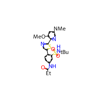 CCC(=O)Nc1ccc(-c2cnc(-c3ncc(NC)cc3OC)s2)c(S(=O)(=O)NC(C)(C)C)c1